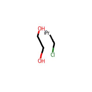 CC(C)CCl.OCCO